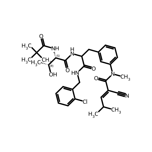 CC(C)C=C(C#N)C(=O)N(C)c1cccc(CC(NC(=O)[C@@H](NC(=O)C(C)(C)C)[C@@H](C)O)C(=O)NCc2ccccc2Cl)c1